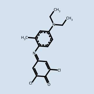 CCN(CC)c1ccc(N=C2C=C(Cl)C(=O)C(Cl)=C2)c(C)c1